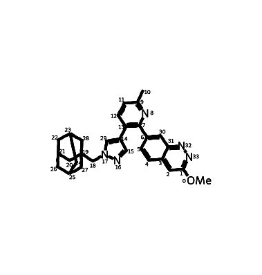 COc1cc2ccc(-c3nc(C)ccc3-c3cnn(CC45CC6CC(CC(C6)C4)C5)c3)cc2nn1